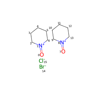 O=[N+]1CCCCC1.O=[N+]1CCCCC1.[Br-].[Cl-]